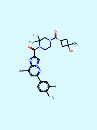 Cc1ccc(-c2cc(C(C)(C)C)c3nc(C(=O)N4CCN(C(=O)[C@H]5C[C@@](C)(O)C5)CC4(C)C)cn3n2)cc1F